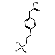 COC(=O)Cc1ccc(CCO[Si](C(C)C)(C(C)C)C(C)C)cc1